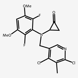 COc1cc(OC)c(F)c(N(Cc2cnc(Cl)c(C)c2Cl)C2CC2=O)c1F